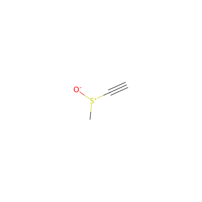 C#C[S+](C)[O-]